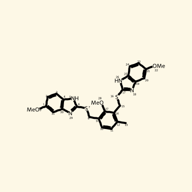 COc1ccc2[nH]c(SCc3ccc(C)c(CSc4nc5cc(OC)ccc5[nH]4)c3OC)nc2c1